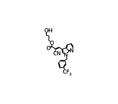 N#C/C(=C\c1cn(Cc2cccc(C(F)(F)F)c2)c2ncccc12)C(=O)OCCCO